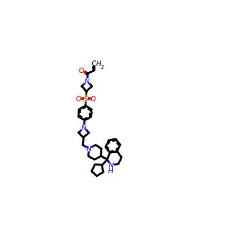 C=CC(=O)N1CC(S(=O)(=O)c2ccc(N3CC(CN4CCC(C5(C6CCCC6)NCCc6ccccc65)CC4)C3)cc2)C1